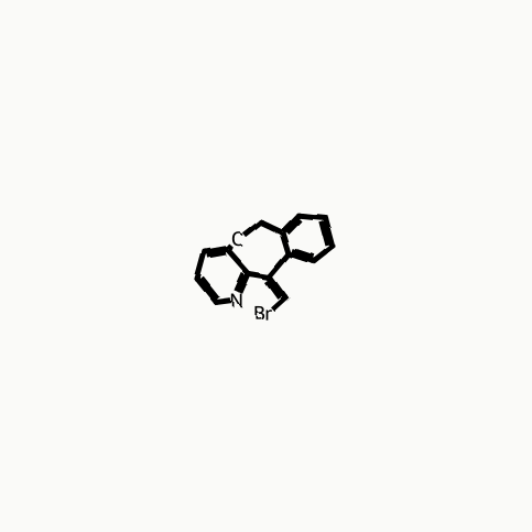 BrC=C1c2ccccc2CCc2cccnc21